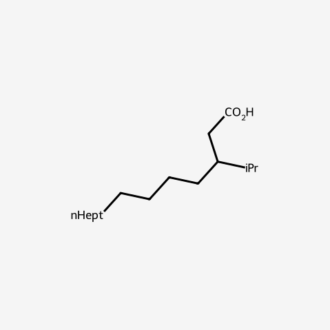 CCCCCCCCCCCC(CC(=O)O)C(C)C